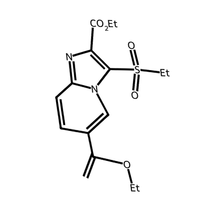 C=C(OCC)c1ccc2nc(C(=O)OCC)c(S(=O)(=O)CC)n2c1